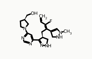 C=C/C(F)=C(\C[C@H]1CNN=C1c1cc(N2CC[C@@H](CO)C2)ncn1)C1=CN(C)NC1